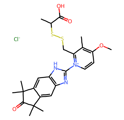 COc1cc[n+](-c2nc3cc4c(cc3[nH]2)C(C)(C)C(=O)C4(C)C)c(CSSC(C)C(=O)O)c1C.[Cl-]